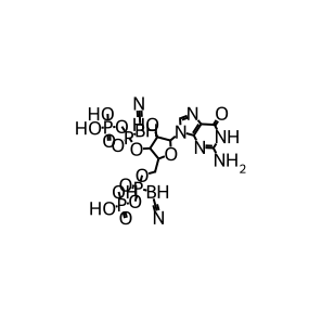 N#CBP(=O)(OCC1OC(n2cnc3c(=O)[nH]c(N)nc32)C(O)C1OP(=O)(BC#N)OP(=O)(O)O)OP(=O)(O)O